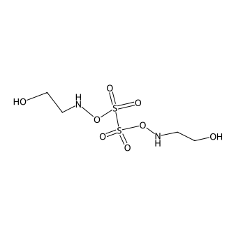 O=S(=O)(ONCCO)S(=O)(=O)ONCCO